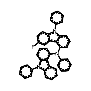 Fc1ccc2c(c1)c1c(N(c3ccccc3)c3cccc4c3c3ccccc3n4-c3ccccc3)cccc1n2-c1ccccc1